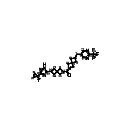 O=C(N1CC2(CC(Cc3cnc(C(F)(F)F)nc3)C2)C1)N1CC2(CC(c3nc(C4(F)CC4)n[nH]3)C2)C1